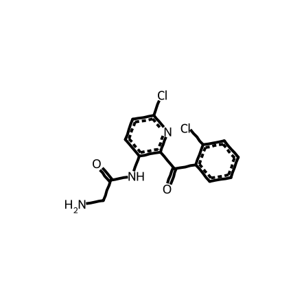 NCC(=O)Nc1ccc(Cl)nc1C(=O)c1ccccc1Cl